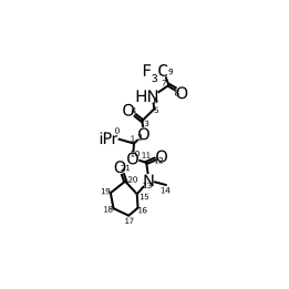 CC(C)C(OC(=O)CNC(=O)C(F)(F)F)OC(=O)N(C)C1CCCCC1=O